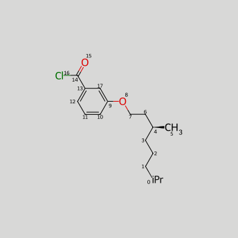 CC(C)CCC[C@H](C)CCOc1cccc(C(=O)Cl)c1